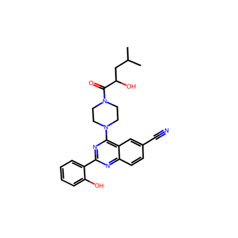 CC(C)CC(O)C(=O)N1CCN(c2nc(-c3ccccc3O)nc3ccc(C#N)cc23)CC1